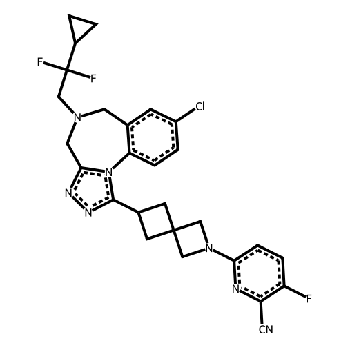 N#Cc1nc(N2CC3(CC(c4nnc5n4-c4ccc(Cl)cc4CN(CC(F)(F)C4CC4)C5)C3)C2)ccc1F